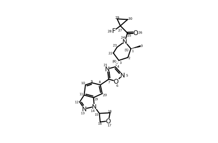 C[C@H]1C[C@H](c2noc(-c3ccc4cnn(C5COC5)c4c3)n2)CCN1C(=O)C1(F)CC1